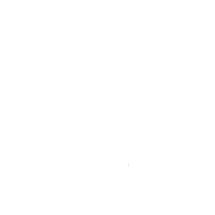 CC(C)(C)OC(=O)Oc1ccnc(CBr)c1C(=O)OP